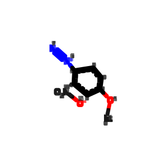 CCOc1ccc([N+]#N)cc1.O=[N+]([O-])[O-]